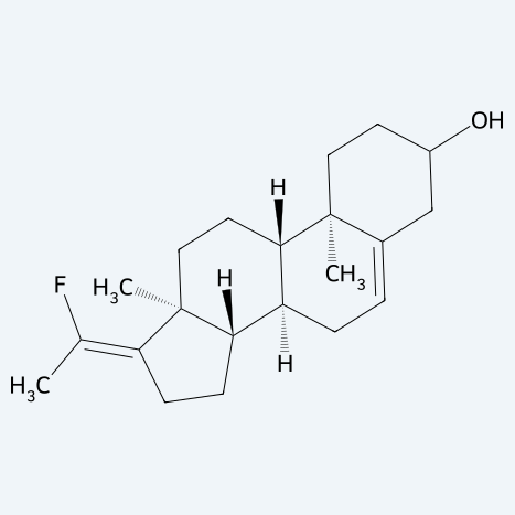 CC(F)=C1CC[C@H]2[C@@H]3CC=C4CC(O)CC[C@]4(C)[C@H]3CC[C@]12C